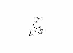 CCCCCCCC(CO)(CO)CO